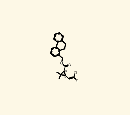 CC1(C)[C@H](C=C(Cl)Cl)[C@@H]1C(=O)OCc1cccc2c1CCc1ccccc1-2